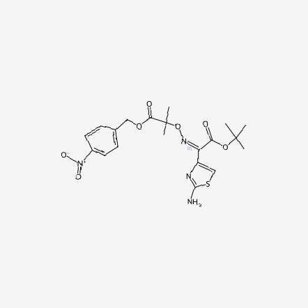 CC(C)(C)OC(=O)/C(=N\OC(C)(C)C(=O)OCc1ccc([N+](=O)[O-])cc1)c1csc(N)n1